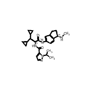 CN[C@@H]1CCc2cc(NC(=O)[C@@H](NC(=O)c3ccnn3C(C)C)C(C3CC3)C3CC3)ccc21